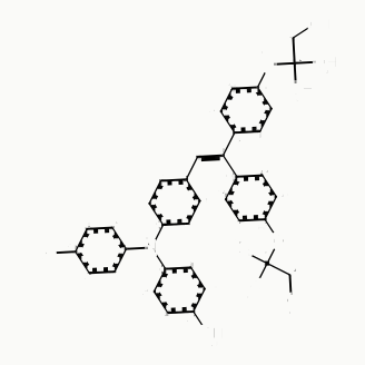 CCC(O)(O)Oc1ccc(C(=Cc2ccc(N(c3ccc(C)cc3)c3ccc(C)cc3)cc2)c2ccc(OC(O)(O)CC)cc2)cc1